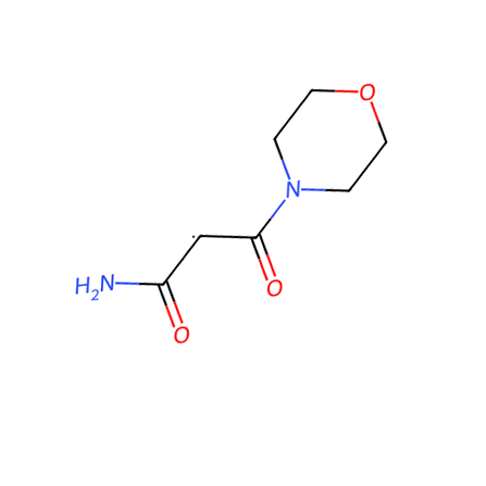 NC(=O)[CH]C(=O)N1CCOCC1